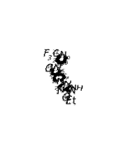 CCOc1n[nH]c2nc(N3CCC4(CC3)CC(=O)N(c3ccnc(C(F)(F)F)c3)C4)cnc12